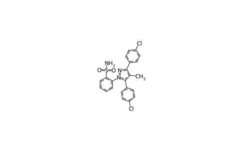 Cc1c(-c2ccc(Cl)cc2)nn(-c2ccccc2S(N)(=O)=O)c1-c1ccc(Cl)cc1